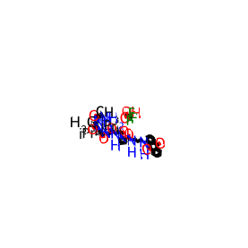 CC(C)C[C@H](NC(=O)[C@H](C)NC(=O)[C@H](C)N)C(=O)NCC(=O)N[C@@H](CC(C)C)C(=O)N1CCC[C@H]1C(=O)NCCCNc1cccc2c1C(=O)c1ccccc1C2=O.O=C(O)C(F)(F)F